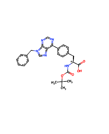 CC(C)(C)OC(=O)N[C@@H](Cc1ccc(-c2ncnc3c2ncn3Cc2ccccc2)cc1)C(=O)O